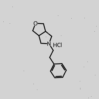 Cl.c1ccc(CCN2CC3COCC3C2)cc1